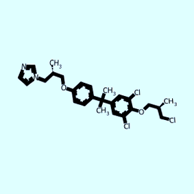 C[C@H](COc1ccc(C(C)(C)c2cc(Cl)c(OC[C@@H](C)CCl)c(Cl)c2)cc1)Cn1ccnc1